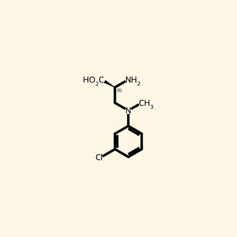 CN(C[C@H](N)C(=O)O)c1cccc(Cl)c1